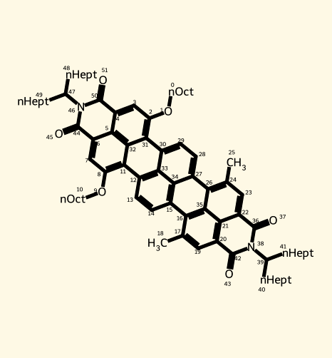 CCCCCCCCOc1cc2c3c(cc(OCCCCCCCC)c4c5ccc6c7c(C)cc8c9c(cc(C)c(c%10ccc(c1c34)c5c%106)c97)C(=O)N(C(CCCCCCC)CCCCCCC)C8=O)C(=O)N(C(CCCCCCC)CCCCCCC)C2=O